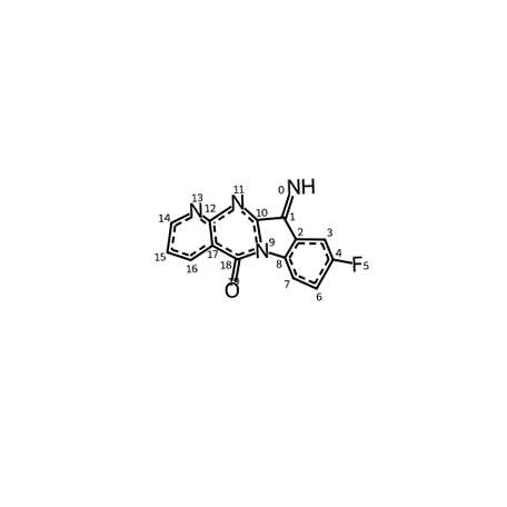 N=C1c2cc(F)ccc2-n2c1nc1ncccc1c2=O